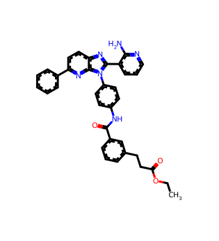 CCOC(=O)CCc1cccc(C(=O)Nc2ccc(-n3c(-c4cccnc4N)nc4ccc(-c5ccccc5)nc43)cc2)c1